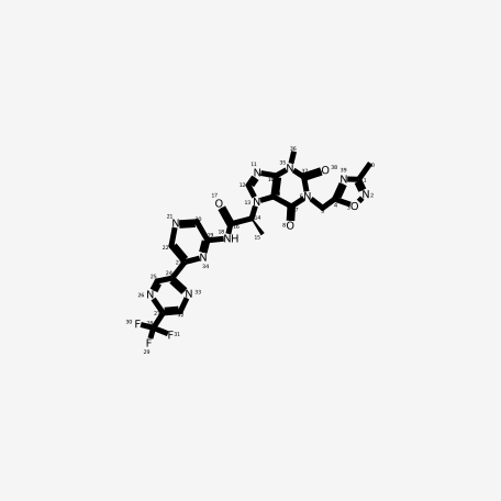 Cc1noc(Cn2c(=O)c3c(ncn3[C@@H](C)C(=O)Nc3cncc(-c4cnc(C(F)(F)F)cn4)n3)n(C)c2=O)n1